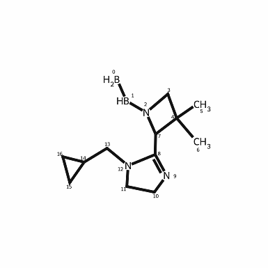 BBN1CC(C)(C)C1C1=NCCN1CC1CC1